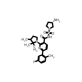 Cc1ccc(F)cc1-c1ccc(C(=O)NS(=O)(=O)N2CC[C@H](N)C2)c(N2CCC(C)C2(C)C)n1